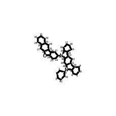 c1ccc(-n2c3ccccc3c3cc4c5ccccc5n(-c5ccc6oc7cc8ccccc8cc7c6c5)c4cc32)cc1